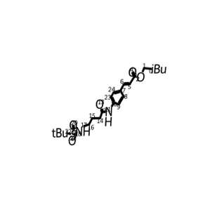 CCC(C)COC(=O)/C=C/c1ccc(NC(=O)CCCCNS(=O)(=O)C(C)(C)C)cc1